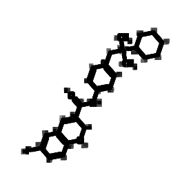 C[N+](C)(Cc1ccc(NC(=O)C2=Cc3cc(F)ccc3OC2)cc1)C1CCCCC1